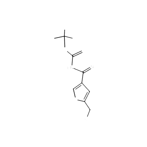 CC(C)(C)OC(=O)NC(=N)c1csc(CO)c1